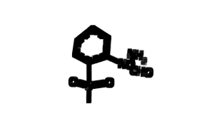 CS(=O)(=O)c1ccccc1[N+](=O)[O-].NC=O